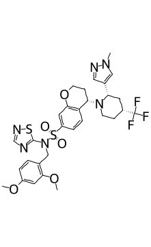 COc1ccc(CN(c2ncns2)S(=O)(=O)c2ccc3c(c2)OCC[C@@H]3N2CC[C@@H](C(F)(F)F)C[C@H]2c2cnn(C)c2)c(OC)c1